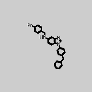 CC(C)c1ccc(CNc2ccc3c(c2)ncn3-c2ccc(Cc3ccccc3)cc2)cc1